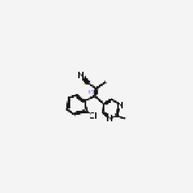 C/C(C#N)=C(\c1cnc(C)nc1)c1ccccc1Cl